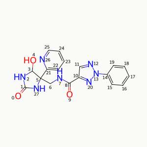 O=C1NC(O)C(CNC(=O)c2cnn(-c3ccccc3)n2)(c2ccccn2)N1